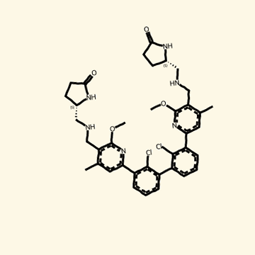 COc1nc(-c2cccc(-c3cccc(-c4cc(C)c(CNC[C@@H]5CCC(=O)N5)c(OC)n4)c3Cl)c2Cl)cc(C)c1CNC[C@@H]1CCC(=O)N1